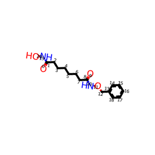 O=C(CCCCCCC(=O)NOCc1ccccc1)NO